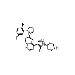 Fc1ccc(F)c(C2CCCN2c2ccc3nccc(-c4cnn(C5CCNCC5)c4F)c3n2)c1